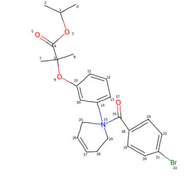 CC(C)OC(=O)C(C)(C)Oc1cccc([N+]2(C(=O)c3ccc(Br)cc3)CC=CCC2)c1